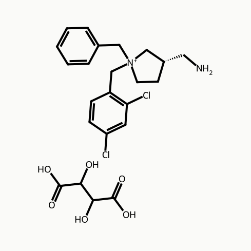 NC[C@@H]1CC[N+](Cc2ccccc2)(Cc2ccc(Cl)cc2Cl)C1.O=C(O)C(O)C(O)C(=O)O